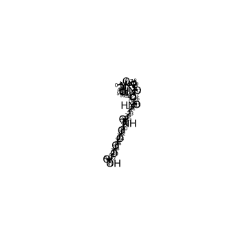 CCN(C(=O)Cn1cccc1C(=O)N[C@H]1CC[C@H](C(=O)NCCCCCC(=O)NCCOCCOCCOCCOCCC(=O)O)CC1)c1cccc(C)c1